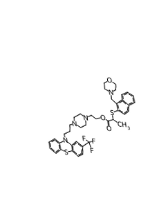 CC(Sc1ccc2ccccc2c1CN1CCOCC1)C(=O)OCCN1CCN(CCCN2c3ccccc3Sc3ccc(C(F)(F)F)cc32)CC1